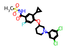 CS(=O)(=O)NC(=O)c1cc(C2CC2)c(OC2CCCN(c3cc(Cl)cc(Cl)c3)C2)cc1F